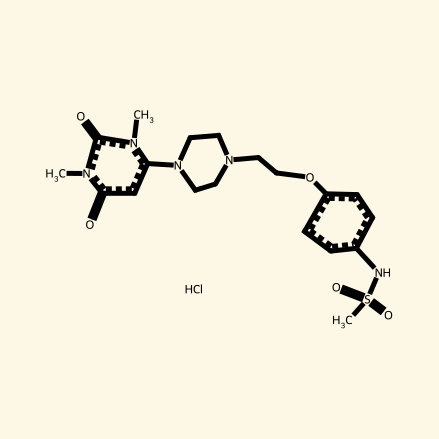 Cl.Cn1c(N2CCN(CCOc3ccc(NS(C)(=O)=O)cc3)CC2)cc(=O)n(C)c1=O